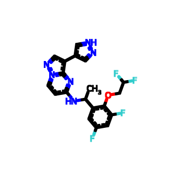 CC(Nc1ccn2ncc(-c3cn[nH]c3)c2n1)c1cc(F)cc(F)c1OCC(F)F